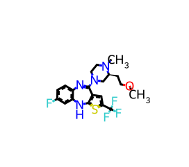 COCC[C@H]1CN(C2=Nc3ccc(F)cc3Nc3sc(C(F)(F)F)cc32)CCN1C